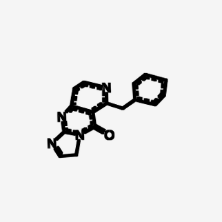 O=c1c2c(Cc3ccccc3)nccc2nc2n1CC=N2